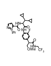 COCC(C(=O)NCC(F)(F)F)c1ccc(NC(=O)C(NC(=O)c2ccnn2C(C)C)C(C2CC2)C2CC2)c(F)c1